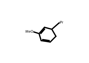 COC1=CC(C(C)C)CC=C1